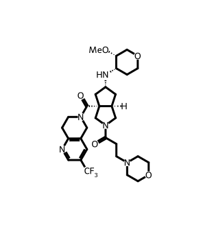 CO[C@@H]1COCC[C@@H]1N[C@@H]1C[C@H]2CN(C(=O)CCN3CCOCC3)C[C@@]2(C(=O)N2CCc3ncc(C(F)(F)F)cc3C2)C1